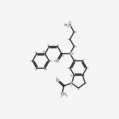 CC(=O)N1CCc2ccc(N(CCCN)C(=O)/C=C\c3ccccc3)cc21